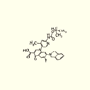 Cc1cc(NC(=O)OC(C)(C)C)ncc1-n1cc(C(=O)O)c(=O)c2cc(F)c(N3CCc4ccccc4C3)cc21